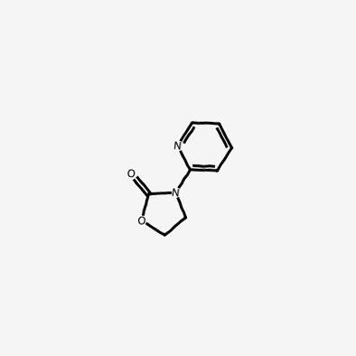 O=C1OCCN1c1ccccn1